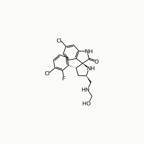 O=C1Nc2cc(Cl)ccc2[C@]12N[C@@H](CNCO)C[C@@H]2c1cccc(Cl)c1F